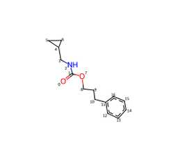 O=C(NCC1CC1)OCCCc1ccccc1